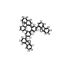 c1ccc2c(c1)-c1cc(-c3cccc4c3oc3ccccc34)ccc1-c1ccc(-c3cccc4c3oc3ccccc34)cc1-c1ccc3cccnc3c1-2